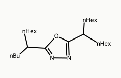 CCCCCCC(CCCC)c1nnc(C(CCCCCC)CCCCCC)o1